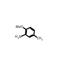 COc1ccc(C)cc1[SiH3]